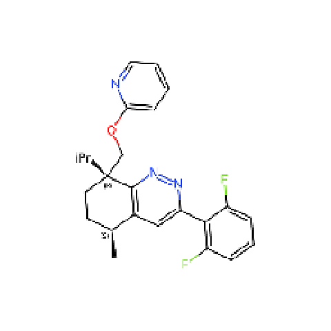 CC(C)[C@]1(COc2ccccn2)CC[C@H](C)c2cc(-c3c(F)cccc3F)nnc21